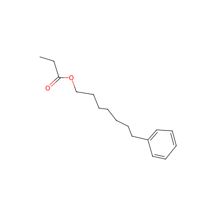 CCC(=O)OCCCCCCCc1ccccc1